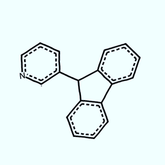 [c]1ncccc1C1c2ccccc2-c2ccccc21